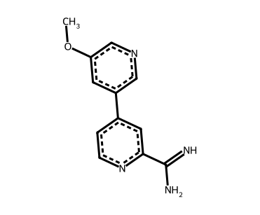 COc1cncc(-c2ccnc(C(=N)N)c2)c1